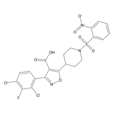 O=C(O)c1c(-c2ccc(Cl)c(F)c2Cl)noc1C1CCN(S(=O)(=O)c2ccccc2[N+](=O)[O-])CC1